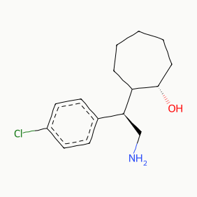 NC[C@@H](c1ccc(Cl)cc1)C1CCCCC[C@@H]1O